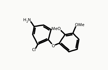 COc1cccc(Oc2ccc(N)cc2Cl)c1OC